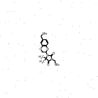 CC(C)(C)Cc1ccc2c(c1)OCC(N1C(=O)N(CC(C)(C)C)C(=O)C1(C)C)O2